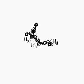 Cc1c(O)cccc1OC1CCC(OC[C@H](C)N2CCN(c3ccc4c(-c5ccc(OCc6ccccc6)nc5OCc5ccccc5)nn(C)c4c3)CC2)CC1